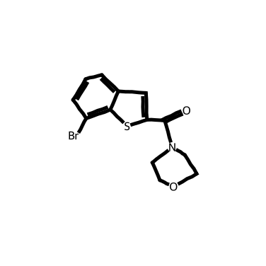 O=C(c1cc2cccc(Br)c2s1)N1CCOCC1